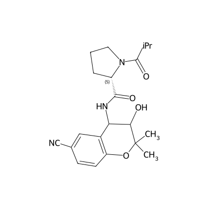 CC(C)C(=O)N1CCC[C@H]1C(=O)NC1c2cc(C#N)ccc2OC(C)(C)C1O